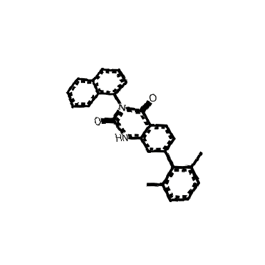 Cc1cccc(C)c1-c1ccc2c(=O)n(-c3cccc4ccccc34)c(=O)[nH]c2c1